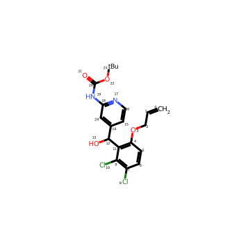 C=CCOc1ccc(Cl)c(Cl)c1C(O)c1ccnc(NC(=O)OC(C)(C)C)c1